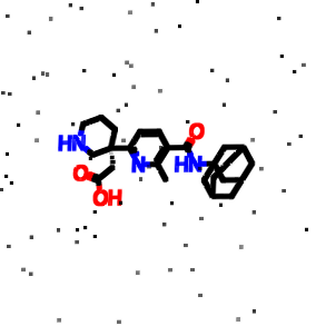 Cc1nc([C@]2(CC(=O)O)CCCNC2)ccc1C(=O)NC12CC3CC(CC(C3)C1)C2